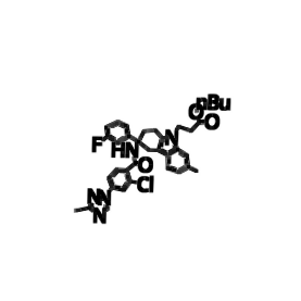 CCCCOC(=O)CCn1c2c(c3ccc(C)cc31)CC(NC(=O)c1ccc(-n3cnc(C)n3)cc1Cl)(c1cccc(F)c1)CC2